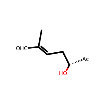 CC(=O)[C@H](O)C/C=C(\C)C=O